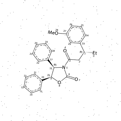 CC[C@H](CC(=O)N1C(=O)O[C@@H](c2ccccc2)[C@H]1c1ccccc1)c1cccc(OC)c1